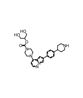 O=C(OC(CO)CO)N1CCN(c2ccnn3cc(-c4ccc(C5CCNCC5)cc4)cc23)CC1